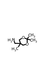 CC1(CN)COC(C)(C)OC1